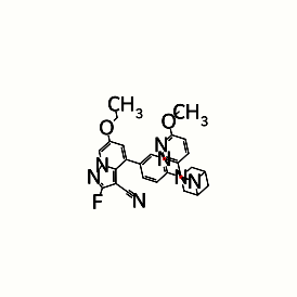 CCOc1cc(-c2ccc(N3CC4CC(C3)N4Cc3ccc(OC)nc3)nc2)c2c(C#N)c(F)nn2c1